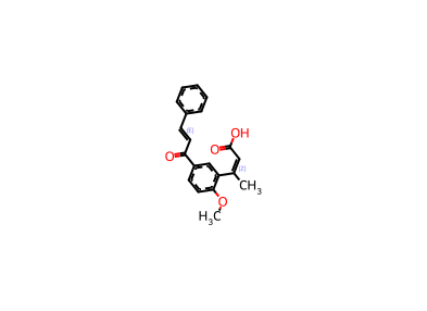 COc1ccc(C(=O)/C=C/c2ccccc2)cc1/C(C)=C\C(=O)O